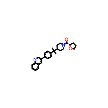 CC(C)(c1ccc(-c2cnc3ccccc3c2)cc1)C1CCN(C(=O)[C@H]2CCCO2)CC1